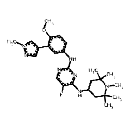 COc1ccc(Nc2ncc(F)c(NC3CC(C)(C)N(C)C(C)(C)C3)n2)cc1-c1cnn(C)c1